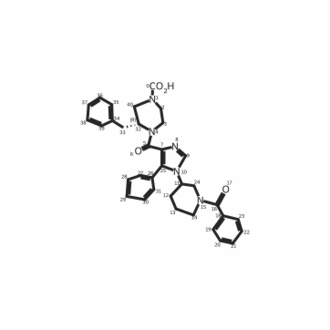 O=C(O)N1CCN(C(=O)c2ncn(C3CCCN(C(=O)c4ccccc4)C3)c2-c2ccccc2)[C@H](Cc2ccccc2)C1